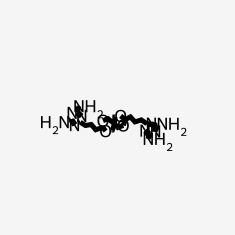 Nc1nc(N)nc(CCCC2OCC3(CO2)COC(CCCc2nc(N)nc(N)n2)OC3)n1